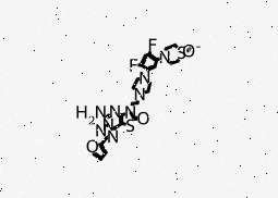 Nc1nc2c(sc(=O)n2CCN2CCN(c3cc(N4CC[S+]([O-])CC4)c(F)cc3F)CC2)c2nc(-c3ccco3)nn12